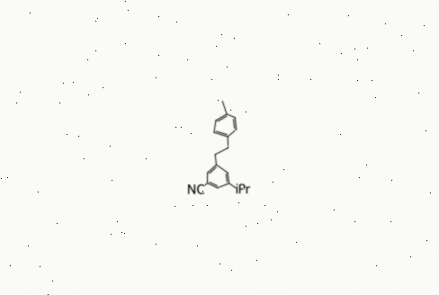 Cc1ccc(CCc2cc(C#N)cc(C(C)C)c2)cc1